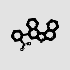 O=[N+]([O-])c1ccccc1-c1cc2sc3ccc4ccccc4c3c2c2ccccc12